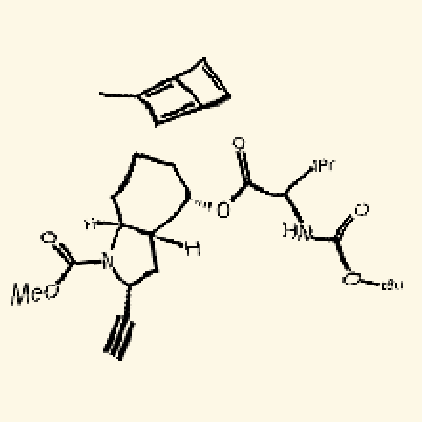 C#CC1C[C@H]2[C@@H](OC(=O)C(NC(=O)OC(C)(C)C)C(C)C)CCC[C@H]2N1C(=O)OC.Cc1cc2ccc1-2